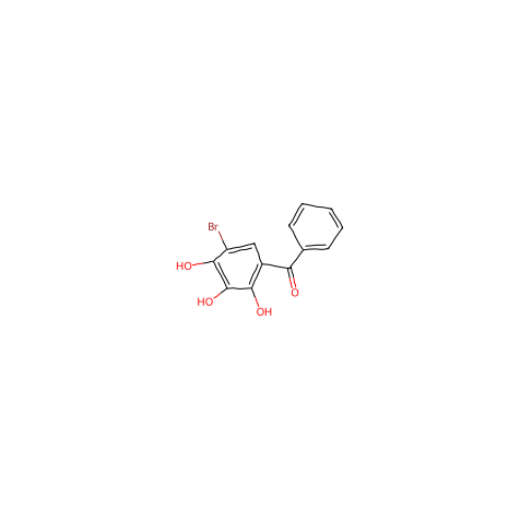 O=C(c1ccccc1)c1cc(Br)c(O)c(O)c1O